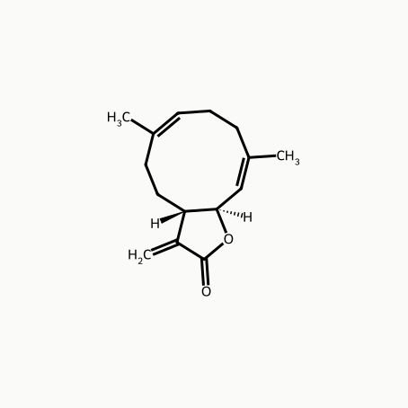 C=C1C(=O)O[C@@H]2C=C(C)CCC=C(C)CC[C@@H]12